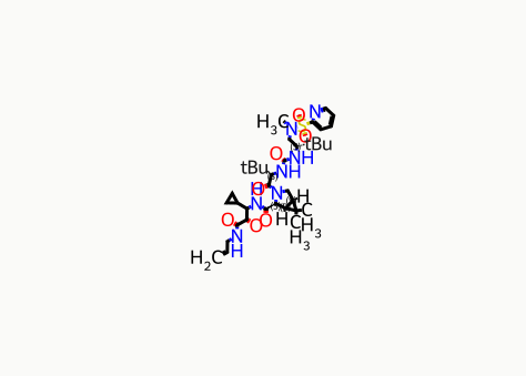 C=CCNC(=O)C(=O)C(NC(=O)[C@@H]1[C@@H]2[C@H](CN1C(=O)[C@@H](NC(=O)N[C@H](CN(C)S(=O)(=O)c1ccccn1)C(C)(C)C)C(C)(C)C)C2(C)C)C1CC1